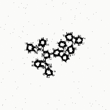 c1ccc([Si](c2ccccc2)(c2ccc(-c3cc(-n4c5ccccc5n5c6ccccc6nc45)nc(-n4c5ccccc5n5c6ccccc6nc45)c3)cc2)c2cccc(-n3c4ccccc4c4ccccc43)c2)cc1